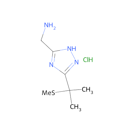 CSC(C)(C)c1n[nH]c(CN)n1.Cl